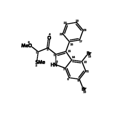 COC(SC)C(=O)c1[nH]c2cc(Br)cc(Br)c2c1-c1ccccc1